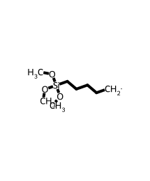 [CH2]CCCC[Si](OC)(OC)OC